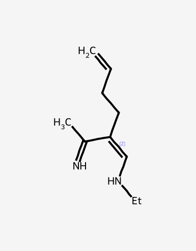 C=CCC/C(=C/NCC)C(C)=N